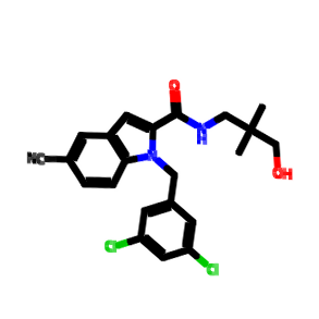 CC(C)(CO)CNC(=O)c1cc2cc(C#N)ccc2n1Cc1cc(Cl)cc(Cl)c1